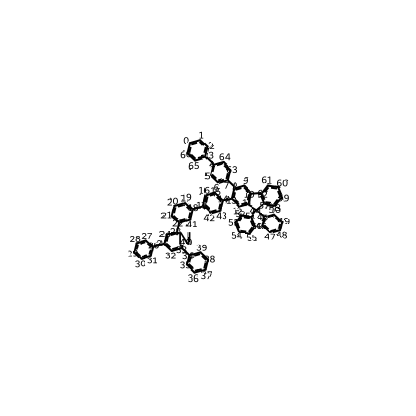 c1ccc(-c2ccc(-c3cc4c(cc3-c3ccc(-c5cccc(-c6cc(-c7ccccc7)cc(-c7ccccc7)n6)c5)cc3)C(c3ccccc3)(c3ccccc3)c3ccccc3-4)cc2)cc1